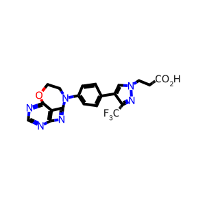 O=C(O)CCn1cc(-c2ccc(N3CCOc4ncnc5c4C3=N5)cc2)c(C(F)(F)F)n1